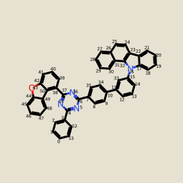 c1ccc(-c2nc(-c3ccc(-c4cccc(-n5c6ccccc6c6ccc7ccccc7c65)c4)cc3)nc(-c3cccc4oc5ccccc5c34)n2)cc1